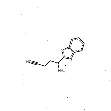 C#CCCN(N)c1nc2ccccc2s1